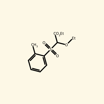 CCOC(=O)C(OCC)S(=O)(=O)c1ccccc1C